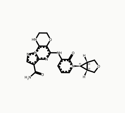 NC(=O)c1cnn2c3c(c(Nc4cccn([C@H]5[C@@H]6COC[C@@H]65)c4=O)nc12)OCCN3